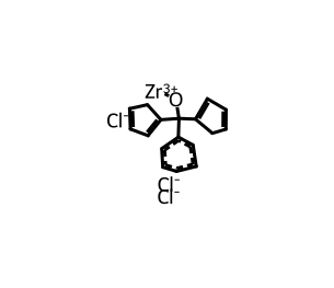 [Cl-].[Cl-].[Cl-].[Zr+3][O]C(C1=CC=CC1)(C1=CC=CC1)c1ccccc1